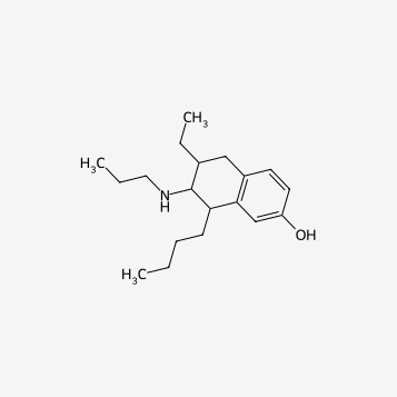 CCCCC1c2cc(O)ccc2CC(CC)C1NCCC